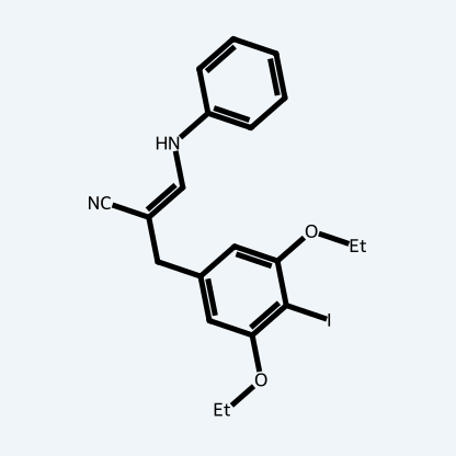 CCOc1cc(CC(C#N)=CNc2ccccc2)cc(OCC)c1I